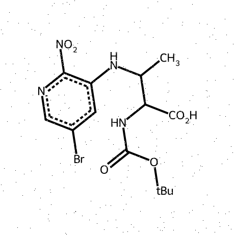 CC(Nc1cc(Br)cnc1[N+](=O)[O-])C(NC(=O)OC(C)(C)C)C(=O)O